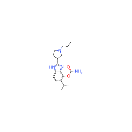 CCCN1CCC(c2nc3c(OC(N)=O)c(C(C)C)ccc3[nH]2)C1